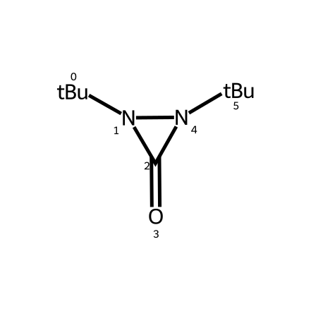 CC(C)(C)N1C(=O)N1C(C)(C)C